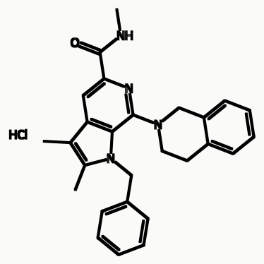 CNC(=O)c1cc2c(C)c(C)n(Cc3ccccc3)c2c(N2CCc3ccccc3C2)n1.Cl